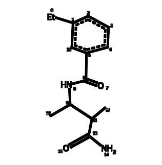 CCc1cccc(C(=O)NC(C)C(C)C(N)=O)c1